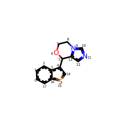 c1ccc2c(C3OCCn4cncc43)csc2c1